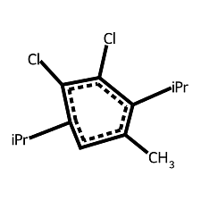 Cc1cc(C(C)C)c(Cl)c(Cl)c1C(C)C